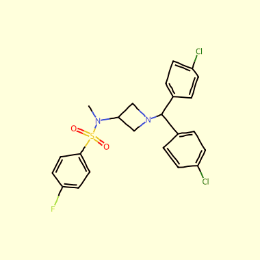 CN(C1CN(C(c2ccc(Cl)cc2)c2ccc(Cl)cc2)C1)S(=O)(=O)c1ccc(F)cc1